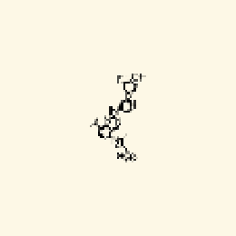 CC(C)c1ccc(N2C[C@H](CS(C)(=O)=O)[C@H]2C)c2cnc(Nc3ccnc(N4CC[C@](C)(O)[C@H](F)C4)c3)nc12